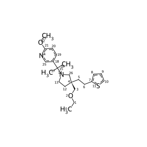 CCOC[C@@]1(CCc2cccs2)CCN(C(C)(C)c2ccc(OC)nc2)C1